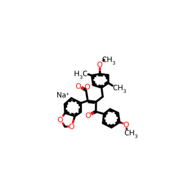 COc1ccc(C(=O)C(Cc2cc(C)c(OC)cc2C)=C(C(=O)[O-])c2ccc3c(c2)OCO3)cc1.[Na+]